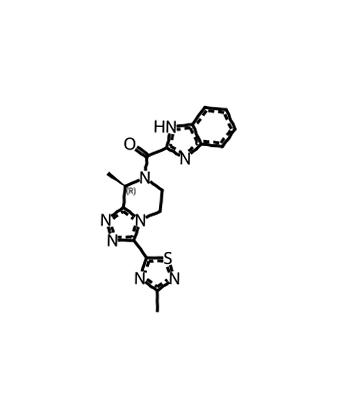 Cc1nsc(-c2nnc3n2CCN(C(=O)c2nc4ccccc4[nH]2)[C@@H]3C)n1